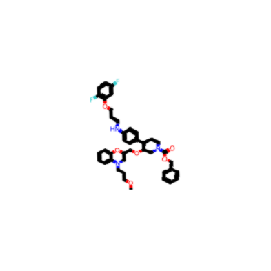 COCCCN1CC(COC2CN(C(=O)OCc3ccccc3)CCC2c2ccc(NCCCOc3cc(F)ccc3F)cc2)Oc2ccccc21